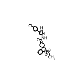 CCS(=O)(=O)N1CC2(CCN(C(=O)Nc3cc(-c4ccc(Cl)cc4)[nH]n3)CC2)c2ccccc21